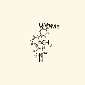 COc1ccc(C2C=CC=C(C3CCNCC3)C2C)cc1OC